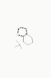 CC(C)(C)[C@H]1CCCc2cccnc21